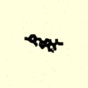 Cc1c(C(=O)NO)ncc2c1ccn2Cc1ccc(F)cc1F